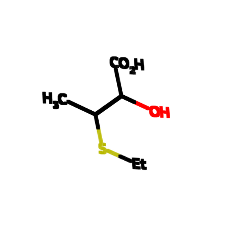 CCSC(C)C(O)C(=O)O